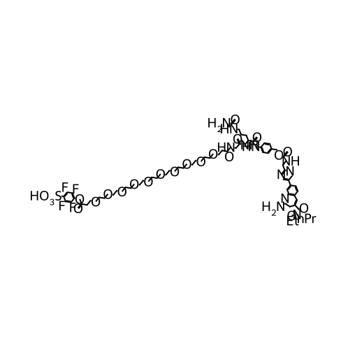 CCCN(OCC)C(=O)C1=Cc2ccc(-c3cnc(CNC(=O)OCc4ccc(NC(=O)C(CCCNC(N)=O)NC(=O)CNC(=O)CCOCCOCCOCCOCCOCCOCCOCCOCCOCCOCCC(=O)Oc5c(F)c(F)c(S(=O)(=O)O)c(F)c5F)cc4)nc3)cc2N=C(N)C1